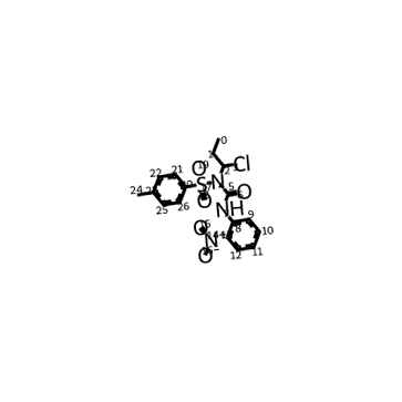 CCC(Cl)N(C(=O)Nc1ccccc1[N+](=O)[O-])S(=O)(=O)c1ccc(C)cc1